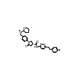 CN(Cc1ccc(N2C[C@@H](C(=O)Nc3ccc(CCc4ccc(F)cc4)nn3)CC2=O)cc1)C1CCCCO1